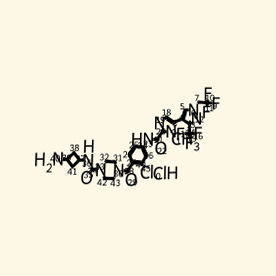 Cl.Cn1c(-c2cn(CC(F)(F)F)nc2C(F)(F)F)cnc1C(=O)Nc1ccc(C(=O)N2CCN(C(=O)NC3CC(N)C3)CC2)c(Cl)c1